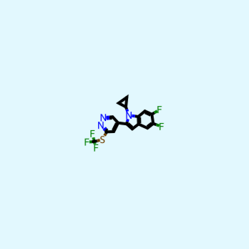 Fc1cc2cc(-c3cnnc(SC(F)(F)F)c3)n(C3CC3)c2cc1F